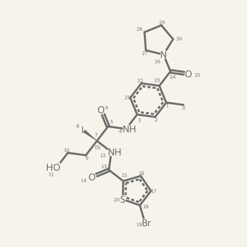 Cc1cc(NC(=O)[C@@](I)(CCO)NC(=O)c2ccc(Br)s2)ccc1C(=O)N1CCCC1